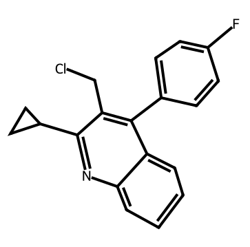 Fc1ccc(-c2c(CCl)c(C3CC3)nc3ccccc23)cc1